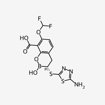 Nc1nnc(S[C@H]2Cc3ccc(OC(F)F)c(C(=O)O)c3OB2O)s1